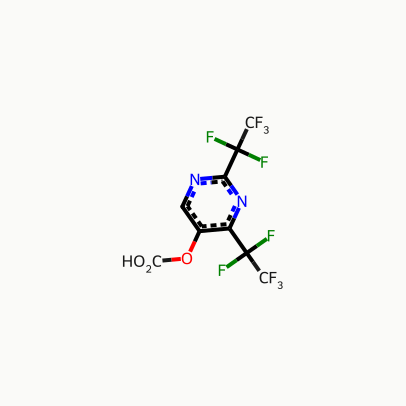 O=C(O)Oc1cnc(C(F)(F)C(F)(F)F)nc1C(F)(F)C(F)(F)F